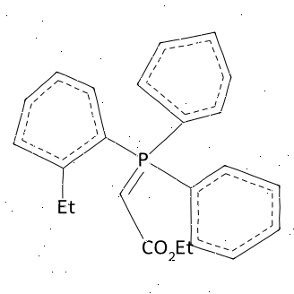 CCOC(=O)C=P(c1ccccc1)(c1ccccc1)c1ccccc1CC